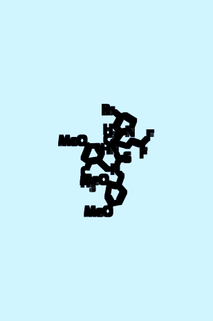 COc1ccc(CN(Cc2ccc(OC)cc2OC)C(=S)N[C@@](C)(CC=C(F)F)c2cc(Br)ccn2)c(C)c1